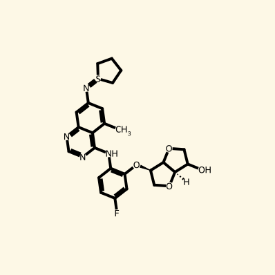 Cc1cc(N=S2CCCC2)cc2ncnc(Nc3ccc(F)cc3O[C@@H]3CO[C@@H]4C(O)COC43)c12